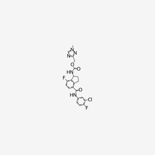 Cn1cnc(COC(=O)NC2CCc3c(C(=O)Nc4ccc(F)c(Cl)c4)ccc(F)c32)n1